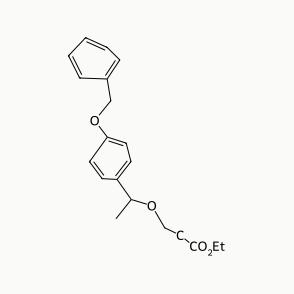 CCOC(=O)CCOC(C)c1ccc(OCc2ccccc2)cc1